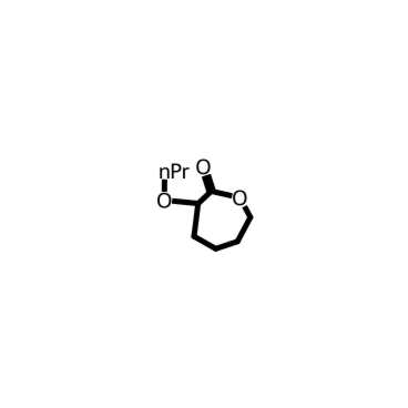 CCCOC1CCCCOC1=O